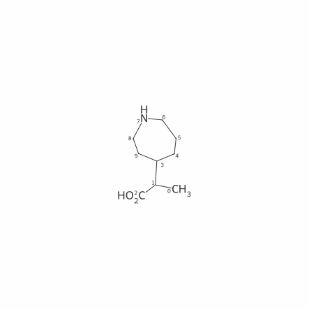 CC(C(=O)O)C1CCCNCC1